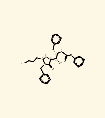 CCCC[C@H]1N[C@@H]([C@@H](O)[C@H](Cc2ccccc2)NC(=O)Oc2ccccc2)C(=O)N1Cc1ccccc1